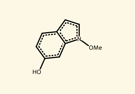 COn1ccc2ccc(O)cc21